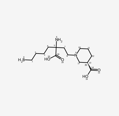 BCCCCC(N)(CCN1CCC[C@@H](C(=O)O)C1)C(=O)O